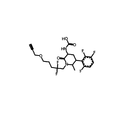 C#CCOCCCC(F)(F)CN1C(=O)C(NC(=O)O)CC(c2c(F)ccc(F)c2F)C1C